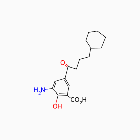 Nc1cc(C(=O)CCCC2CCCCC2)cc(C(=O)O)c1O